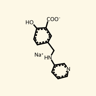 O=C([O-])c1cc(CNc2cccnc2)ccc1O.[Na+]